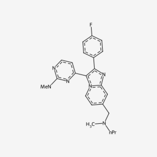 CCCN(C)Cc1ccn2c(-c3ccnc(NC)n3)c(-c3ccc(F)cc3)nc2c1